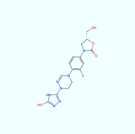 O=C1O[C@@H](CO)CN1c1ccc(N2C=NN(c3nnc(O)[nH]3)CC2)c(F)c1